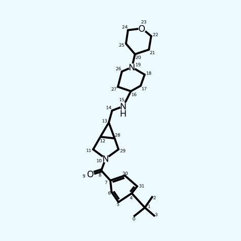 CC(C)(C)c1ccc(C(=O)N2CC3C(CNC4CCN(C5CCOCC5)CC4)C3C2)cc1